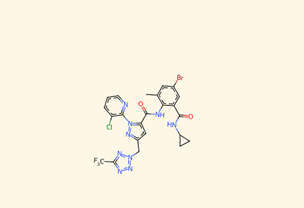 Cc1cc(Br)cc(C(=O)NC2CC2)c1NC(=O)c1cc(Cn2nnc(C(F)(F)F)n2)nn1-c1ncccc1Cl